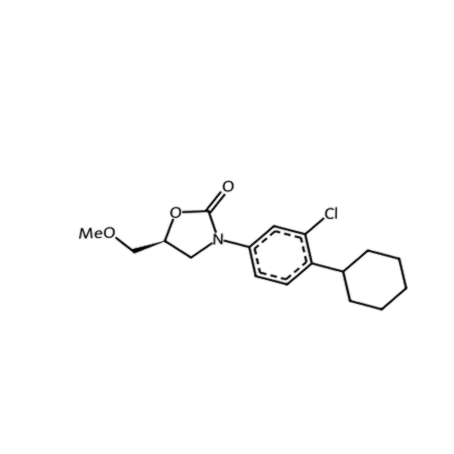 COC[C@@H]1CN(c2ccc(C3CCCCC3)c(Cl)c2)C(=O)O1